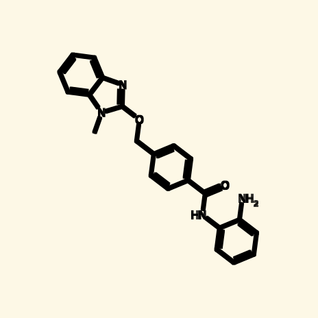 Cn1c(OCc2ccc(C(=O)Nc3ccccc3N)cc2)nc2ccccc21